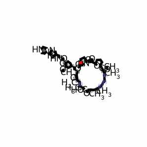 CO[C@H]1CC2CCCC(O2)C(=O)C(=O)N2CCCC[C@H]2C(=O)O[C@H](CC[C@@H]2CC[C@@H](OC(=O)NCc3cnc(N4CCNCC4)nc3)[C@H](OC)C2)CC(=O)[C@H](C)/C=C(\C)[C@@H](O)CC(=O)[C@H](C)C[C@H](C)/C=C/C=C/C=C/1C